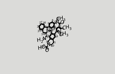 Cc1c(C(=O)N(C)c2ccccc2)cc(-c2cc3c(cc2C(=O)N2Cc4ccccc4C[C@H]2CN)CN(C(=O)O)CC3)n1C